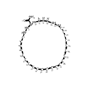 NC(=O)N1NNCCCCCCCCCCCCCCCCCCCCCCNNNNNN1